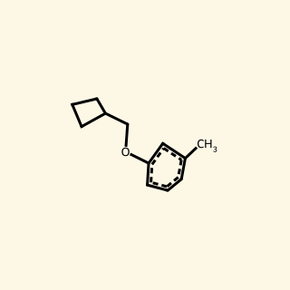 Cc1cccc(OCC2CCC2)c1